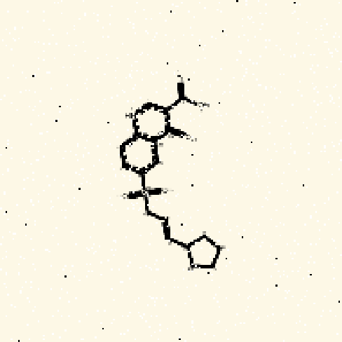 O=C(O)c1c[nH]c2ccc(S(=O)(=O)CC=CC3CCCC3)cc2c1=O